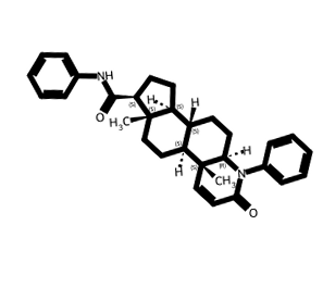 C[C@]12C=CC(=O)N(c3ccccc3)[C@@H]1CC[C@@H]1[C@@H]2CC[C@]2(C)[C@@H](C(=O)Nc3ccccc3)CC[C@@H]12